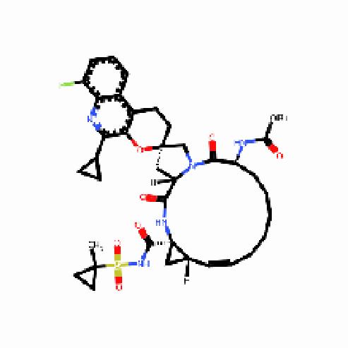 CC(C)COC(=O)N[C@H]1CCCCC/C=C\[C@@H]2C[C@@]2(C(=O)NS(=O)(=O)C2(C)CC2)NC(=O)[C@@H]2C[C@]3(CCc4c(c(C5CC5)nc5c(F)cccc45)O3)CN2C1=O